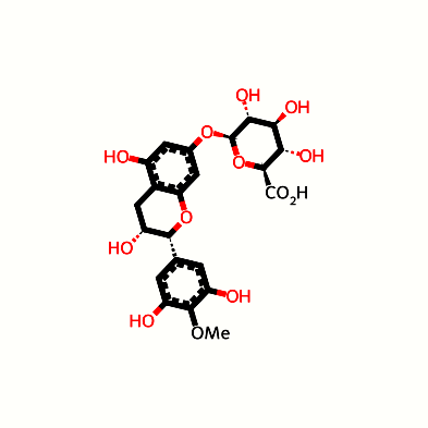 COc1c(O)cc([C@H]2Oc3cc(O[C@@H]4O[C@H](C(=O)O)[C@@H](O)[C@H](O)[C@H]4O)cc(O)c3C[C@H]2O)cc1O